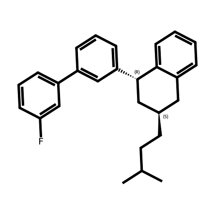 CC(C)CC[C@@H]1Cc2ccccc2[C@@H](c2cccc(-c3cccc(F)c3)c2)C1